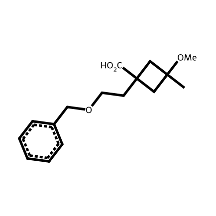 COC1(C)CC(CCOCc2ccccc2)(C(=O)O)C1